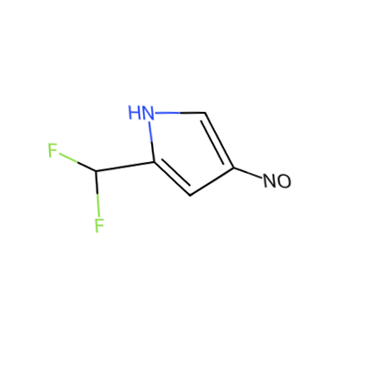 O=Nc1c[nH]c(C(F)F)c1